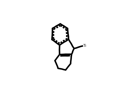 [Ti][CH]1C2=C(CCCC2)c2ccccc21